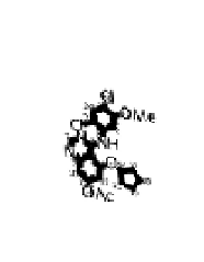 COc1cc(Nc2ncnc3cc(OC(C)=O)cc(OC4CCCC4)c23)c(Cl)cc1Cl